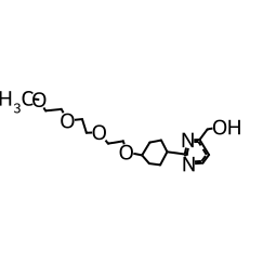 COCCOCCOCCOC1CCC(c2nccc(CO)n2)CC1